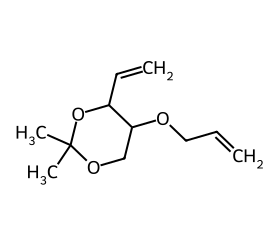 C=CCOC1COC(C)(C)OC1C=C